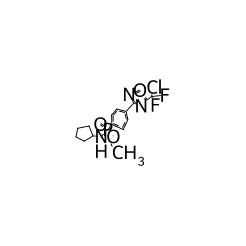 CCOP(=O)(NC1CCCC1)c1ccc(-c2noc(C(F)(F)Cl)n2)cc1